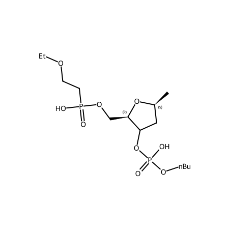 CCCCOP(=O)(O)OC1C[C@H](C)O[C@@H]1COP(=O)(O)CCOCC